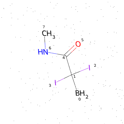 BC(I)(I)C(=O)NC